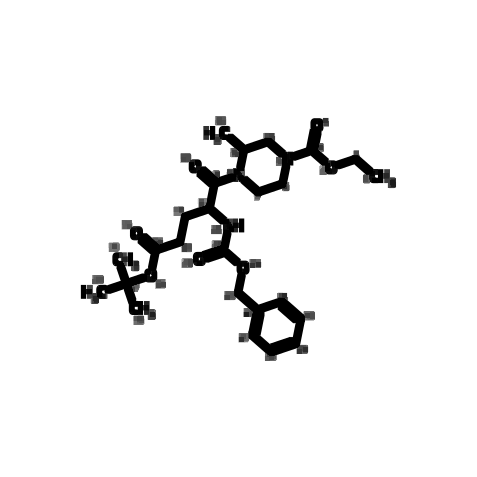 CCOC(=O)N1CCN(C(=O)C(CCC(=O)OC(C)(C)C)NC(=O)OCc2ccccc2)C(C)C1